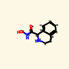 O=C(NO)C1NCCc2ccccc21